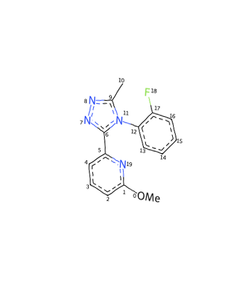 COc1cccc(-c2nnc(C)n2-c2ccccc2F)n1